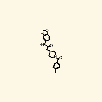 [2H]N(C(=O)CN1CCN(C(=O)c2ccc(C)cc2)CC1)c1ccc2c(c1)OCO2